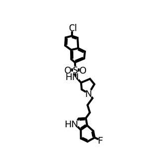 O=S(=O)(NC1CCN(CCCc2c[nH]c3ccc(F)cc23)C1)c1ccc2cc(Cl)ccc2c1